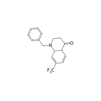 O=C1CCN(Cc2ccccc2)C2C=C(C(F)(F)F)C=CC12